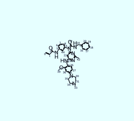 C=CC(=O)Nc1cccc(N(C(=O)NCc2ccccc2)c2cc(Nc3ccc(N4CCN(C)CC4)cc3OC)nc(C)n2)c1